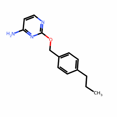 CCCc1ccc(COc2nccc(N)n2)cc1